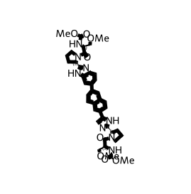 COC[C@H](NC(=O)OC)C(=O)N1CCC[C@H]1c1ncc(-c2ccc3cc(-c4ccc5nc([C@@H]6CCCN6C(=O)[C@H](COC)NC(=O)OC)[nH]c5c4)ccc3c2)[nH]1